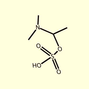 CC(OS(=O)(=O)O)N(C)C